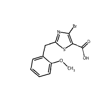 COc1ccccc1Cc1nc(Br)c(C(=O)O)s1